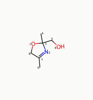 CC1=NC(C)(CO)OC1